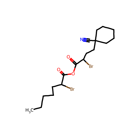 CCCCCC(Br)C(=O)OC(=O)C(Br)CCC1(C#N)CCCCC1